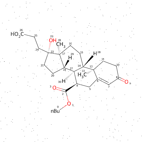 CCCCOC(=O)[C@@H]1CC2=CC(=O)CC[C@]2(C)[C@H]2CC[C@@]3(C)[C@@H](CC[C@@]3(O)CCC(=O)O)[C@H]12